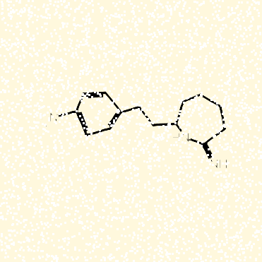 N=C1CCCCC(CCc2ccc([N+](=O)[O-])cc2)N1